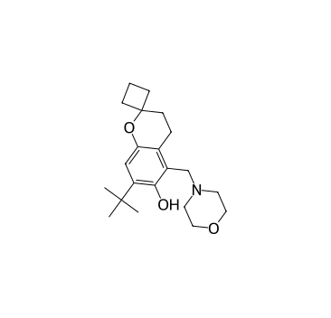 CC(C)(C)c1cc2c(c(CN3CCOCC3)c1O)CCC1(CCC1)O2